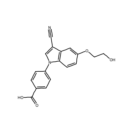 N#Cc1cn(-c2ccc(C(=O)O)cc2)c2ccc(OCCO)cc12